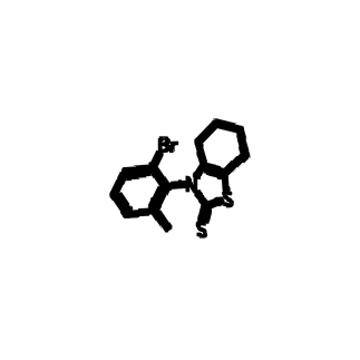 Cc1cccc(Br)c1-n1c2c(sc1=S)CCCC2